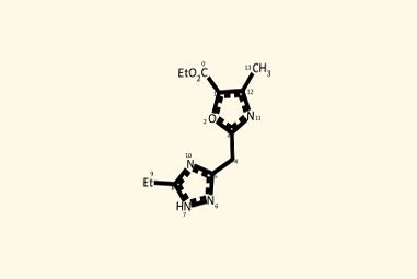 CCOC(=O)c1oc(Cc2n[nH]c(CC)n2)nc1C